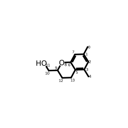 Cc1cc(C)c2c(c1)OC(CO)CC2